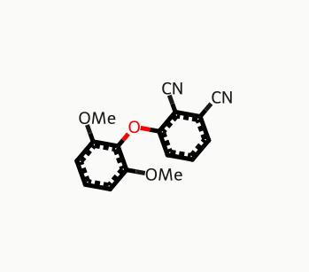 COc1cccc(OC)c1Oc1cccc(C#N)c1C#N